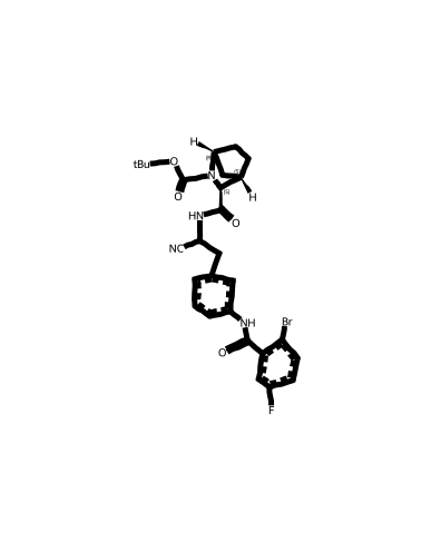 CC(C)(C)OC(=O)N1[C@@H]2CC[C@@H](C2)[C@H]1C(=O)NC(C#N)Cc1cccc(NC(=O)c2cc(F)ccc2Br)c1